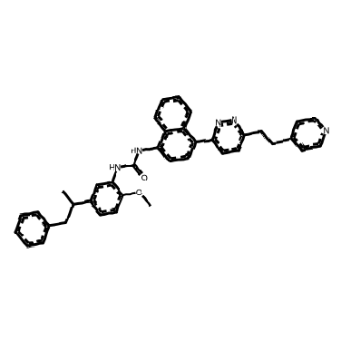 COc1ccc(C(C)Cc2ccccc2)cc1NC(=O)Nc1ccc(-c2ccc(CCc3ccncc3)nn2)c2ccccc12